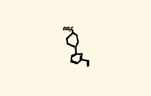 C=Cc1cncc(N2CCC(C(=O)OCC)CC2)n1